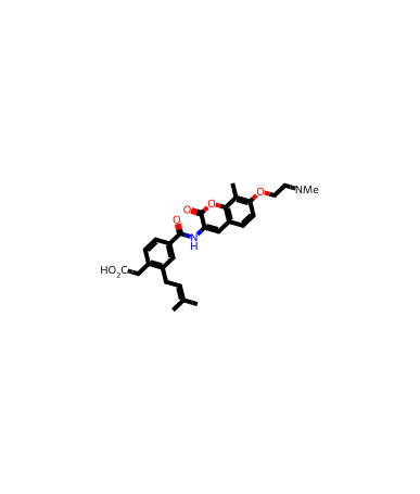 CNCCOc1ccc2cc(NC(=O)c3ccc(CC(=O)O)c(CC=C(C)C)c3)c(=O)oc2c1C